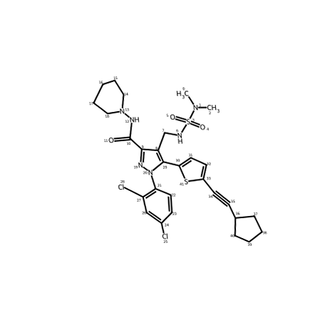 CN(C)S(=O)(=O)NCc1c(C(=O)NN2CCCCC2)nn(-c2ccc(Cl)cc2Cl)c1-c1ccc(C#CC2CCCC2)s1